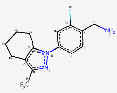 NCc1ccc(-n2nc(C(F)(F)F)c3c2CCCC3)cc1F